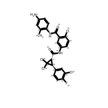 Cc1cc(N)ccc1NC(=O)c1cc(NC(=O)[C@@H]2[C@@H](c3ccc(F)c(Cl)c3)C2(Cl)Cl)ccc1Cl